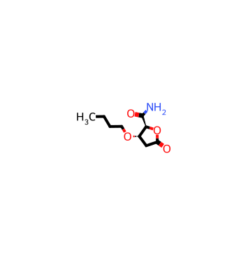 CCCCO[C@H]1CC(=O)O[C@@H]1C(N)=O